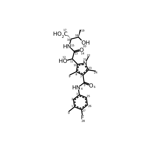 Cc1cc(NC(=O)c2c(C)c(C(O)C(=O)N[C@H](C(=O)O)[C@@H](C)O)n(C)c2C)ccc1F